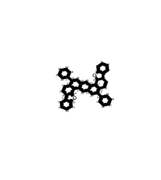 C1=CC2c3ccccc3OC2c2c1c(-c1ccccc1)cc1cc3c(cc(-c4ccccc4)c4ccc5c6ccccc6oc5c43)cc21